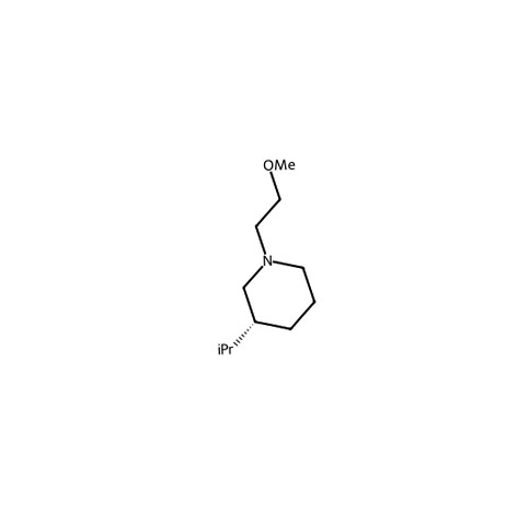 COCCN1CCC[C@H](C(C)C)C1